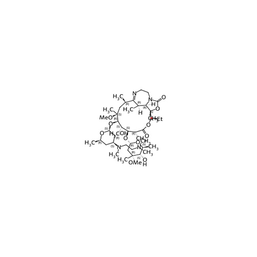 CC[C@H]1OC(=O)[C@H](C)[C@@H](O[C@H]2C[C@@](C)(OC)[C@@H](O)[C@H](C)O2)[C@H](C)[C@@H](O[C@@H]2O[C@H](C)C[C@H](N(C)CCN(C)C)[C@H]2O)[C@@](C)(OC)C[C@@H](C)C2=NCCN3C(=O)O[C@@]1(C)[C@H]3[C@H]2C